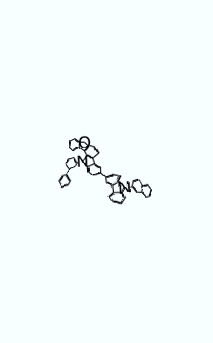 c1ccc(-c2cccc(-n3c4ccc(-c5ccc6c(c5)c5ccccc5n6-c5ccc6ccccc6c5)cc4c4ccc5oc6ccccc6c5c43)c2)cc1